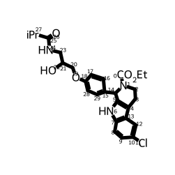 CCOC(=O)N1CCc2c([nH]c3ccc(Cl)cc23)C1c1ccc(OCC(O)CNC(=O)C(C)C)cc1